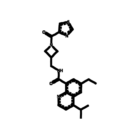 CCc1cc(C(=O)NCC2CN(C(=O)c3cscn3)C2)c2nccc(C(C)C)c2c1